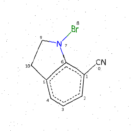 N#Cc1cccc2c1N(Br)CC2